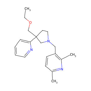 CCOCC1(c2ccccn2)CCN(Cc2ccc(C)nc2C)C1